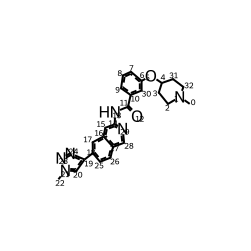 CN1CCC(Oc2cccc(C(=O)Nc3cc4cc(-c5cn(C)nn5)ccc4cn3)c2)CC1